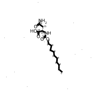 CCCCCCCCCCOC(=O)N[C@@H](CC(N)=O)C(=O)O